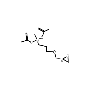 C=C(C)O[Si](C)(CCCOC[C@H]1CO1)OC(=C)C